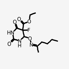 CCCCC(C)=NOC1NC(=O)NC(=O)C1(F)C(=O)OCC